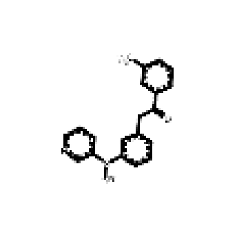 CCCN(c1cccnc1)c1cccc(CC(=O)c2cccc(C)c2)c1